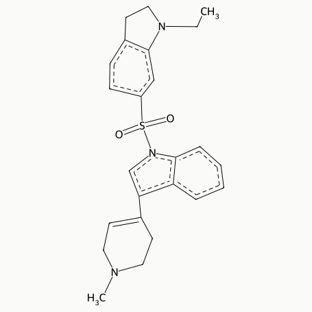 CCN1CCc2ccc(S(=O)(=O)n3cc(C4=CCN(C)CC4)c4ccccc43)cc21